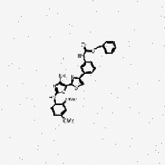 COc1ccc(Nc2nc(N)c(-c3nc(-c4cccc(NC(=O)OCc5ccccc5)c4)cs3)s2)c(OC)c1